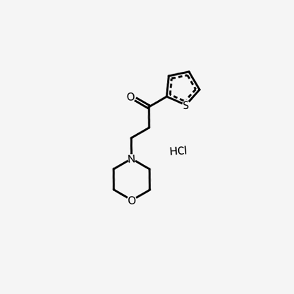 Cl.O=C(CCN1CCOCC1)c1cccs1